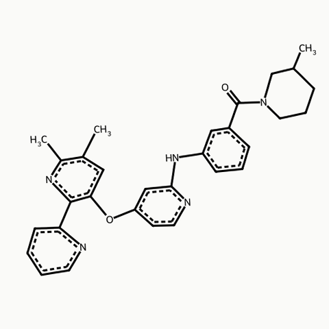 Cc1cc(Oc2ccnc(Nc3cccc(C(=O)N4CCCC(C)C4)c3)c2)c(-c2ccccn2)nc1C